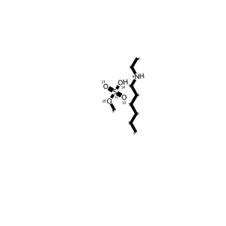 CCCCCCNCC.COS(=O)(=O)O